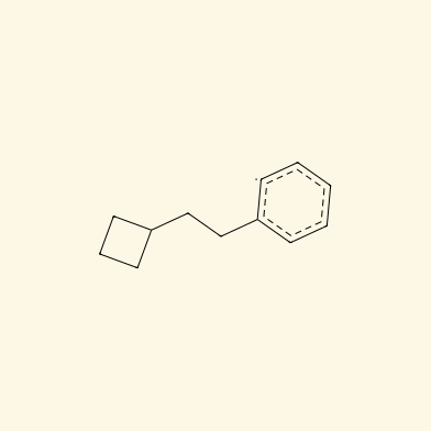 [c]1ccccc1CCC1CCC1